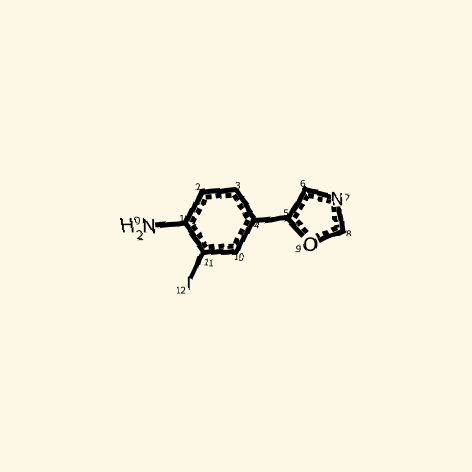 Nc1ccc(-c2cnco2)cc1I